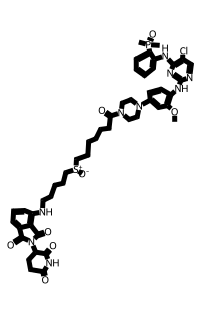 COc1cc(N2CCN(C(=O)CCCCCC[S+]([O-])CCCCCNc3cccc4c3C(=O)N(C3CCC(=O)NC3=O)C4=O)CC2)ccc1Nc1ncc(Cl)c(Nc2ccccc2P(C)(C)=O)n1